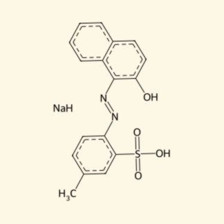 Cc1ccc(N=Nc2c(O)ccc3ccccc23)c(S(=O)(=O)O)c1.[NaH]